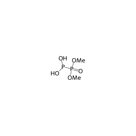 COP(=O)(OC)P(O)O